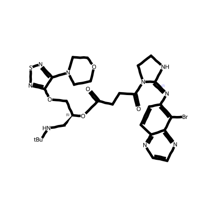 CC(C)(C)NC[C@@H](COc1nsnc1N1CCOCC1)OC(=O)CCC(=O)N1CCN/C1=N/c1ccc2nccnc2c1Br